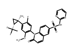 COc1cc([C@]2(C)C[C@H]2C(F)(F)F)c(F)cc1-n1c(=O)ccc2cc(S(=O)(=O)Nc3ncccn3)ccc21